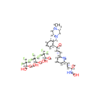 CN1CCN(Cc2ccccc2C(=O)/C=C/c2cccc(/C=C/C(=O)NO)n2)CC1.O=C(O)C(F)(F)F.O=C(O)C(F)(F)F.O=C(O)C(F)(F)F